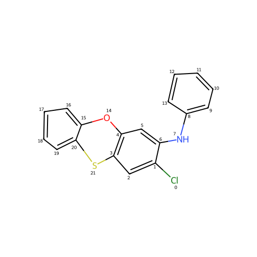 Clc1cc2c(cc1Nc1ccccc1)Oc1ccccc1S2